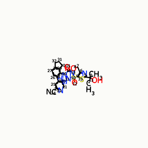 CC(C)(O)c1nc(CO)c(S(N)(=O)=NC(=O)Nc2c(-c3ccnc(C#N)c3)ccc3c2CCC3)s1